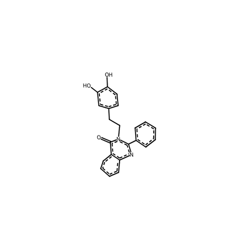 O=c1c2ccccc2nc(-c2ccccc2)n1CCc1ccc(O)c(O)c1